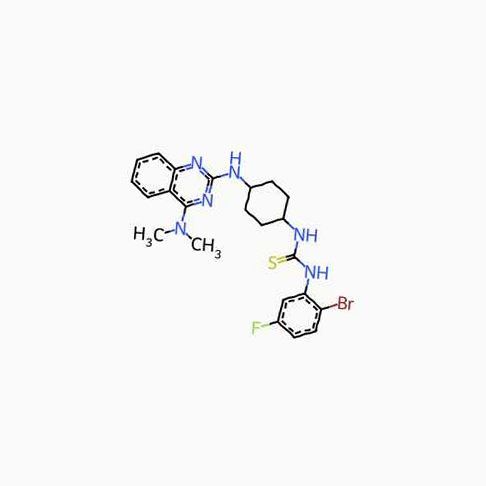 CN(C)c1nc(NC2CCC(NC(=S)Nc3cc(F)ccc3Br)CC2)nc2ccccc12